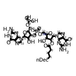 CCCCCCCCCCCCCC(=O)OC1C(n2cnc3c(=O)[nH]c(N)nc32)O/C(=C/OP(=O)(S)O[C@@H]2C(O)C(n3cnc4c(=O)[nH]c(N)nc43)O[C@@H]2CO[PH](=O)S)[C@@H]1O